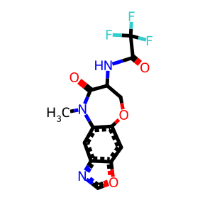 CN1C(=O)C(NC(=O)C(F)(F)F)COc2cc3ocnc3cc21